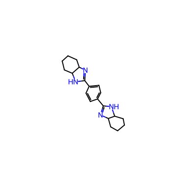 c1cc(C2=NC3CCCCC3N2)ccc1C1=NC2CCCCC2N1